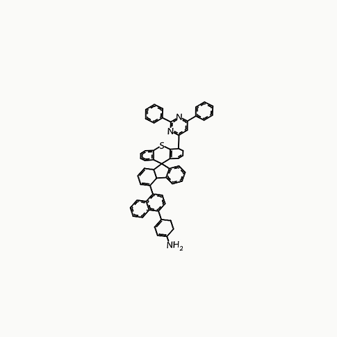 NC1=CC=C(c2ccc(C3=CC=CC4C3c3ccccc3C43C4=C(Sc5ccccc53)C(c3cc(-c5ccccc5)nc(-c5ccccc5)n3)CC=C4)c3ccccc23)CC1